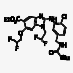 CCOC(=O)c1cc2nc(Nc3cc(CNC(=O)C(C)(C)C)ccc3Cl)n(CC(F)F)c2cc1OCC(F)F